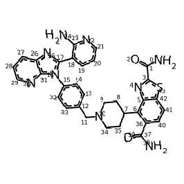 NC(=O)c1nc2c(C3CCN(Cc4ccc(-n5c(-c6cccnc6N)nc6cccnc65)cc4)CC3)c(C(N)=O)ccc2s1